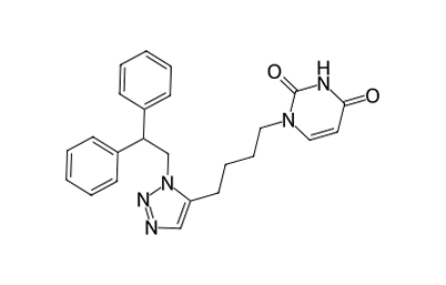 O=c1ccn(CCCCc2cnnn2CC(c2ccccc2)c2ccccc2)c(=O)[nH]1